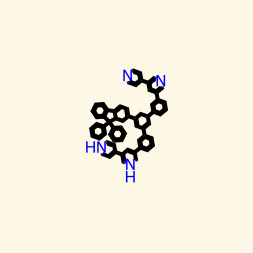 C1=CC(C2=CNCC(c3cccc(C4=CC(c5cccc(-c6cncc(-c7ccncc7)c6)c5)CC(C5=CC=C6c7ccccc7C(c7ccccc7)(c7ccccc7)C6C5)=C4)c3)=C2)=CCN1